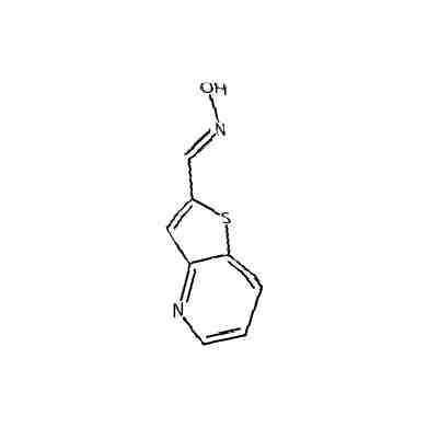 O/N=C/c1cc2ncccc2s1